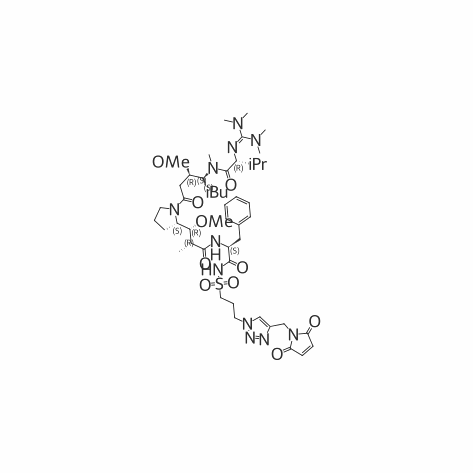 CC[C@H](C)[C@@H]([C@@H](CC(=O)N1CCC[C@H]1[C@H](OC)[C@@H](C)C(=O)N[C@@H](Cc1ccccc1)C(=O)NS(=O)(=O)CCCn1cc(CN2C(=O)C=CC2=O)nn1)OC)N(C)C(=O)[C@H](N=C(N(C)C)N(C)C)C(C)C